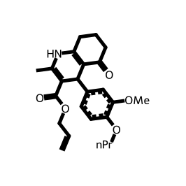 C=CCOC(=O)C1=C(C)NC2=C(C(=O)CCC2)C1c1ccc(OCCC)c(OC)c1